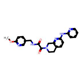 COc1ccc(CNC(=O)C(=O)N2CCc3ccc(Nc4ccccn4)nc3C2)cn1